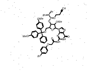 C#CCCOP(OC1C(COC(c2ccccc2)(c2ccc(OC)cc2)c2ccc(OC)cc2)OC(n2cnc3c(=O)[nH]c(NC(=O)COc4ccc(C(C)C)cc4)nc32)C1OC)N(C(C)C)C(C)C